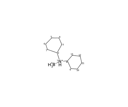 [BH3-][NH+](C1CCCCC1)C1CCCCC1